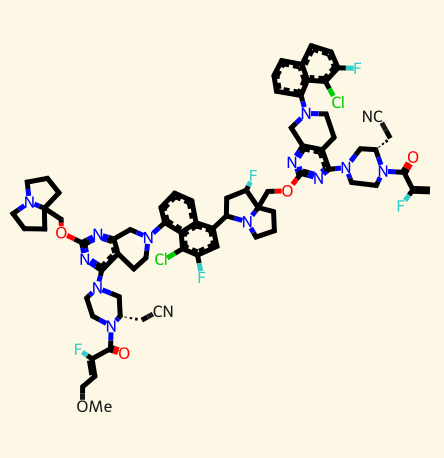 C=C(F)C(=O)N1CCN(c2nc(OCC34CCCN3C(c3cc(F)c(Cl)c5c(N6CCc7c(nc(OCC89CCCN8CCC9)nc7N7CCN(C(=O)/C(F)=C/COC)[C@@H](CC#N)C7)C6)cccc35)CC4F)nc3c2CCN(c2cccc4ccc(F)c(Cl)c24)C3)C[C@@H]1CC#N